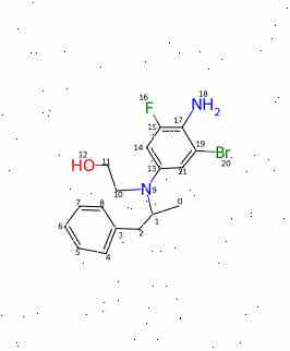 CC(Cc1ccccc1)N(CCO)c1cc(F)c(N)c(Br)c1